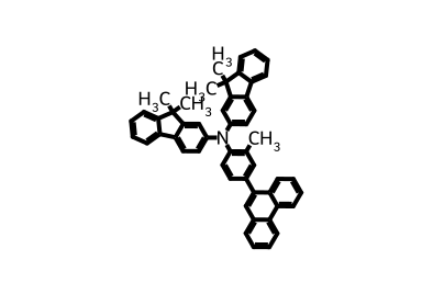 Cc1cc(-c2cc3ccccc3c3ccccc23)ccc1N(c1ccc2c(c1)C(C)(C)c1ccccc1-2)c1ccc2c(c1)C(C)(C)c1ccccc1-2